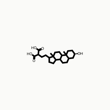 CC12CCC3C(CCC4C[C@H](O)CCC43C)C1CCC2CCC(C(=O)O)C(=O)O